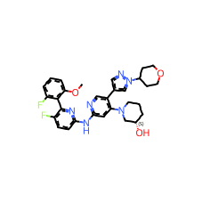 COc1cccc(F)c1-c1nc(Nc2cc(N3CCC[C@H](O)C3)c(-c3cnn(C4CCOCC4)c3)cn2)ccc1F